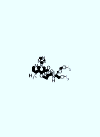 CCOC[C@H](CC)NC(=O)C1CCN1C1(C(=O)O)CN(c2ncns2)c2nccc(C)c2C1=O